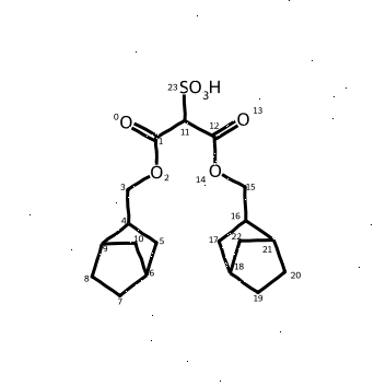 O=C(OCC1CC2CCC1C2)C(C(=O)OCC1CC2CCC1C2)S(=O)(=O)O